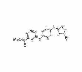 CCc1cnn(Cc2ccc(Cc3cncc(C(=O)OC)c3)cc2)c1